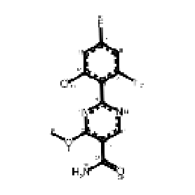 COc1nc(-c2c(F)cc(F)cc2Cl)ncc1C(N)=O